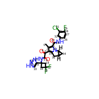 Cc1c(C(=O)C(=O)NC2(c3c[nH]nn3)CC(F)(F)C2)c2n(c1C(=O)Nc1ccc(F)c(Cl)c1)[C@@H]1C[C@@H]1C2